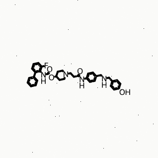 O=C(CCN1CCC(OC(=O)Nc2c(F)cccc2-c2ccccc2)CC1)Nc1ccc(CNCc2ccc(O)cc2)cc1